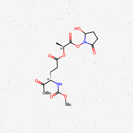 CC(C)COC(=O)[C@H](CCC(=O)O[C@@H](C)C(=O)ON1C(=O)CCC1O)NC(=O)OC(C)(C)C